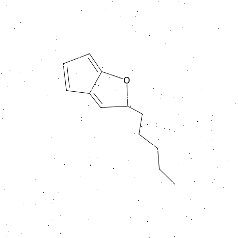 CCCCC[C]1C=C2C=CC=C2O1